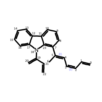 C=C/C=C\C=C(/C)c1cccc2c3ccccc3n(C(=C)C=C)c12